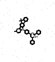 CC1C=Cc2c(c3cc4c(cc3n2-c2ccc(C3=CC(c5ccccc5)NC(c5ccccc5)=N3)cc2)-c2ccccc2C4(C)C)C1